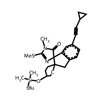 CSC1=NC2(C(=O)N1C)c1cc(C#CC3CC3)ccc1CC21CCC(O[Si](C)(C)C(C)(C)C)CC1